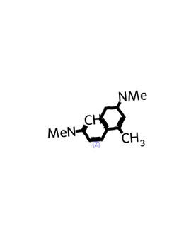 C=C(/C=C\C1=CCC(NC)C=C1C)NC